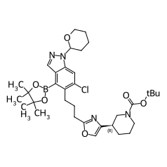 CC(C)(C)OC(=O)N1CCC[C@@H](c2coc(CCCc3c(Cl)cc4c(cnn4C4CCCCO4)c3B3OC(C)(C)C(C)(C)O3)n2)C1